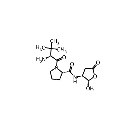 CC(C)(C)[C@H](N)C(=O)N1CCC[C@H]1C(=O)N[C@H]1CC(=O)O[C@H]1O